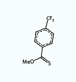 COC(=S)c1ccc(C(F)(F)F)cc1